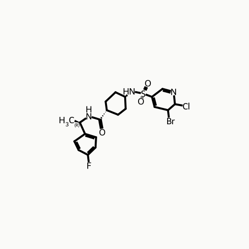 C[C@@H](NC(=O)[C@H]1CC[C@H](NS(=O)(=O)C2=CC(Br)C(Cl)N=C2)CC1)c1ccc(F)cc1